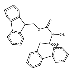 CN(C(=O)OCC1c2ccccc2-c2ccccc21)[C@@H](Cc1ccccc1-c1ccccc1)C(=O)O